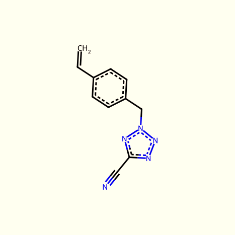 C=Cc1ccc(Cn2nnc(C#N)n2)cc1